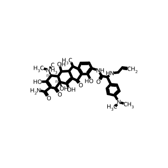 C=CCNC(C(=O)Nc1ccc2c(c1O)C(=O)C1=C(O)[C@]3(O)C(=O)C(C(N)=O)=C(O)[C@@H](N(C)C)C3C(O)C1C2C)c1ccc(N(C)C)cc1